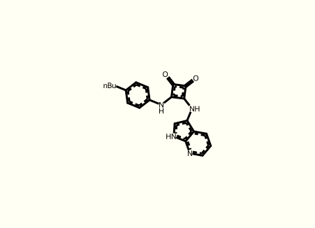 CCCCc1ccc(Nc2c(Nc3c[nH]c4ncccc34)c(=O)c2=O)cc1